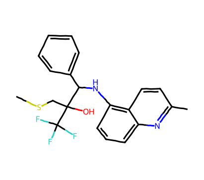 CSCC(O)(C(Nc1cccc2nc(C)ccc12)c1ccccc1)C(F)(F)F